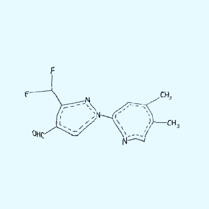 Cc1cnc(-n2cc(C=O)c(C(F)F)n2)cc1C